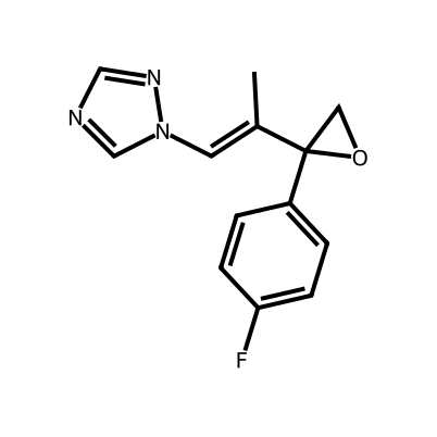 CC(=Cn1cncn1)C1(c2ccc(F)cc2)CO1